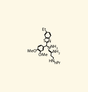 CCCNCC/C(N)=C/N(N)C(c1ccc(OC)c(OC)c1)c1nc2ccc(CC)cc2s1